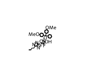 C=CCCc1ncnc2c1ncn2[C@@H]1O[C@H](COC(c2ccccc2)(c2ccc(OC)cc2)c2ccc(OC)cc2)[C@@H](O)[C@H]1F